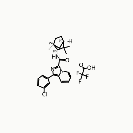 CC1(C)[C@@H]2CC[C@@](C)(C2)[C@H]1NC(=O)c1nc(-c2cccc(Cl)c2)c2ccccn12.O=C(O)C(F)(F)F